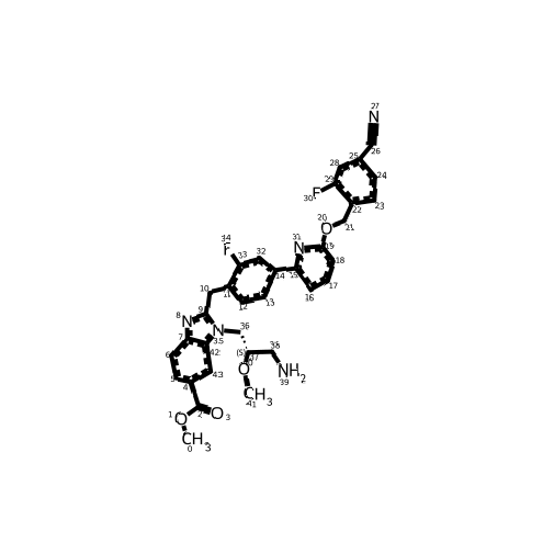 COC(=O)c1ccc2nc(Cc3ccc(-c4cccc(OCc5ccc(C#N)cc5F)n4)cc3F)n(C[C@H](CN)OC)c2c1